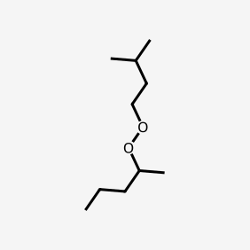 CCCC(C)OOCCC(C)C